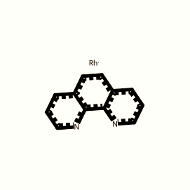 [Rh].c1cnc2c(c1)ccc1cccnc12